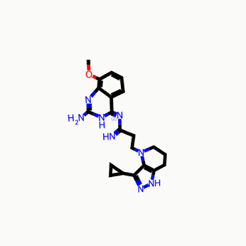 COc1cccc2/c(=N/C(=N)CCN3CCCc4[nH]nc(C5CC5)c43)[nH]c(N)nc12